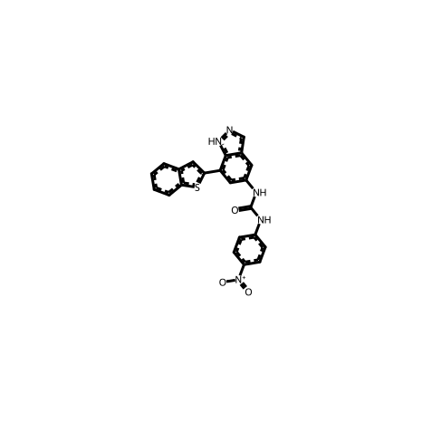 O=C(Nc1ccc([N+](=O)[O-])cc1)Nc1cc(-c2cc3ccccc3s2)c2[nH]ncc2c1